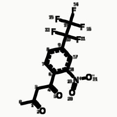 CC(=O)CC(=O)c1ccc(C(F)(F)C(F)(F)F)cc1[N+](=O)[O-]